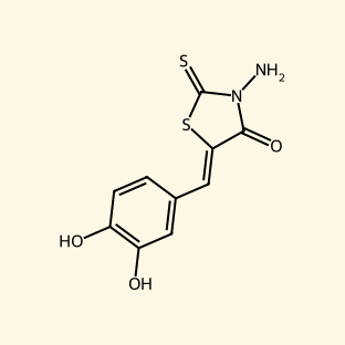 NN1C(=O)/C(=C/c2ccc(O)c(O)c2)SC1=S